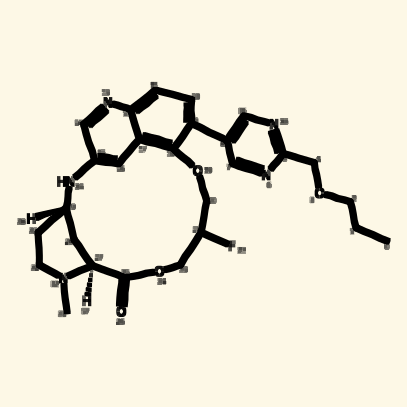 CCCOCc1ncc(-c2ccc3ncc4cc3c2OCC(F)COC(=O)[C@@H]2C[C@H](CCN2C)N4)cn1